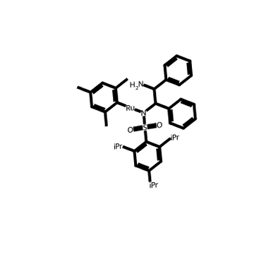 Cc1cc(C)[c]([Ru][N](C(c2ccccc2)C(N)c2ccccc2)S(=O)(=O)c2c(C(C)C)cc(C(C)C)cc2C(C)C)c(C)c1